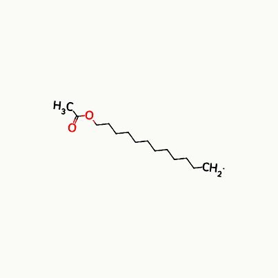 [CH2]CCCCCCCCCCCOC(C)=O